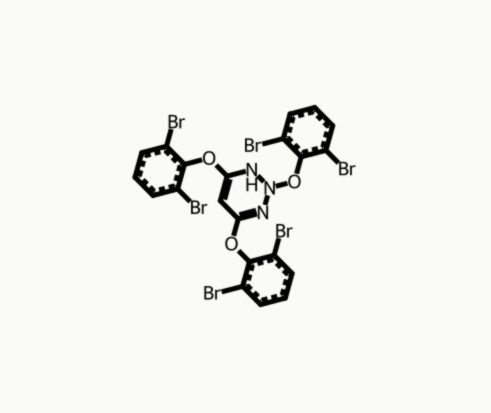 Brc1cccc(Br)c1OC1=CC(Oc2c(Br)cccc2Br)=NN(Oc2c(Br)cccc2Br)N1